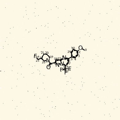 COc1ccc(-c2cc(C(F)(F)F)n3nc(C(=O)N4CCCC(CF)C4)cc3n2)cc1